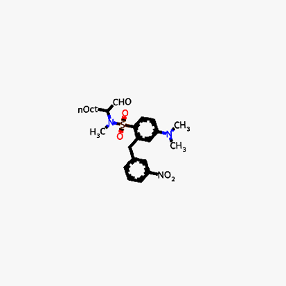 CCCCCCCCC(C=O)N(C)S(=O)(=O)c1ccc(N(C)C)cc1Cc1cccc([N+](=O)[O-])c1